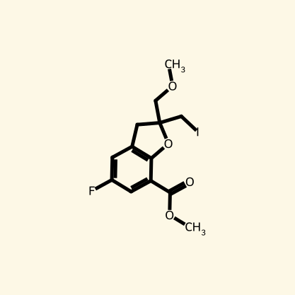 COCC1(CI)Cc2cc(F)cc(C(=O)OC)c2O1